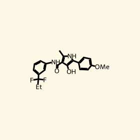 CCC(F)(F)c1cccc(NC(=O)c2c(C)[nH]c(-c3ccc(OC)cc3)c2O)c1